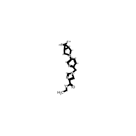 CCOC(=O)c1cn(Cc2ccc(N3CC4C(C3)C4(F)F)cn2)cn1